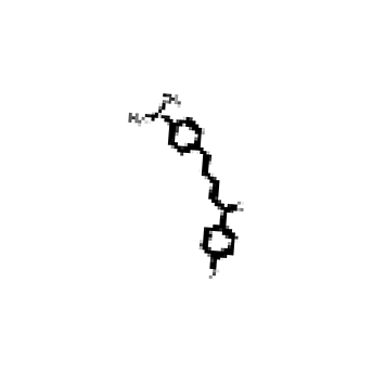 CN(C)c1ccc(/C=C/C=C/C(=O)c2ccc(Br)cc2)cc1